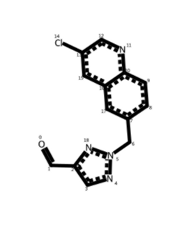 O=Cc1cnn(Cc2ccc3ncc(Cl)cc3c2)n1